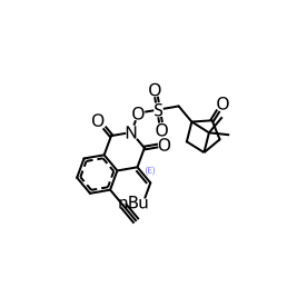 C#Cc1cccc2c1/C(=C\CCCC)C(=O)N(OS(=O)(=O)CC13CC(CC1=O)C3(C)C)C2=O